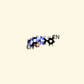 N#Cc1cccc(-c2cnc(N3CCN4CCN(C#N)C[C@H]4C3=O)nc2)c1